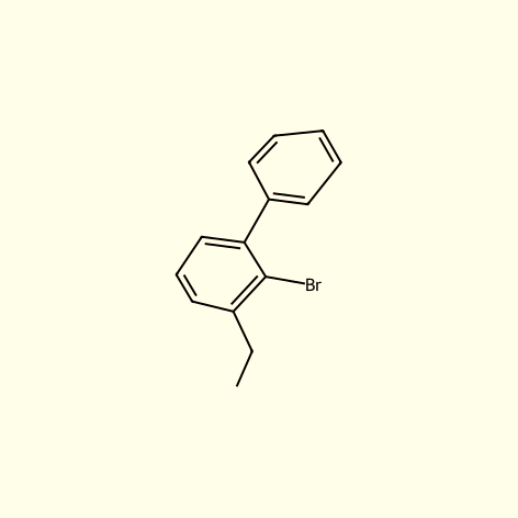 CCc1cccc(-c2ccccc2)c1Br